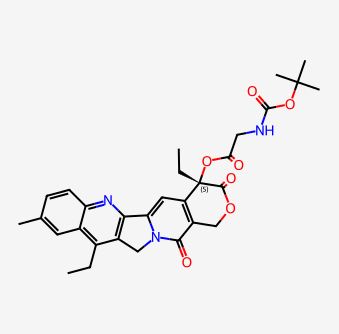 CCc1c2c(nc3ccc(C)cc13)-c1cc3c(c(=O)n1C2)COC(=O)[C@@]3(CC)OC(=O)CNC(=O)OC(C)(C)C